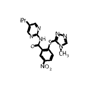 CC(C)c1cnc(NC(=O)c2cc([N+](=O)[O-])ccc2Sc2nncn2C)nc1